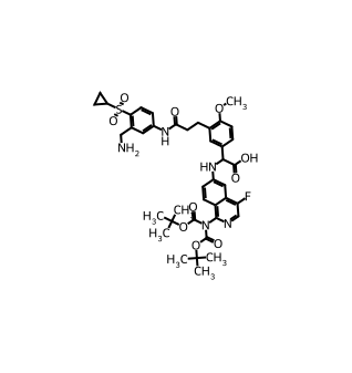 COc1ccc(C(Nc2ccc3c(N(C(=O)OC(C)(C)C)C(=O)OC(C)(C)C)ncc(F)c3c2)C(=O)O)cc1CCC(=O)Nc1ccc(S(=O)(=O)C2CC2)c(CN)c1